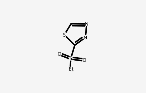 CCS(=O)(=O)c1nncs1